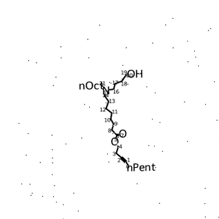 CCCCCC#CCCOC(=O)CCCCCCCN(CCCCO)CCCCCCCC